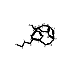 CCCCc1cc2ccc1CCc1ccc(c(CCCC)c1)CC2